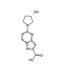 O=C(O)c1cc2nc(N3CC[C@H](O)C3)ccn2n1